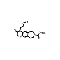 CCOCCN1C(=O)COc2cc3c(cc21)CCN(C(=O)OC(C)(C)C)CC3